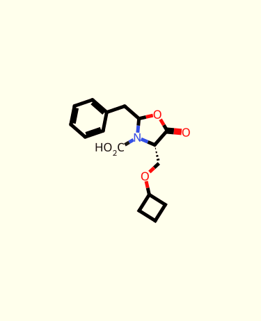 O=C1OC(Cc2ccccc2)N(C(=O)O)[C@H]1COC1CCC1